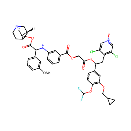 COc1cccc(C(Nc2cccc(C(=O)OCC(=O)OC(Cc3c(Cl)c[n+]([O-])cc3Cl)c3ccc(OC(F)F)c(OCC4CC4)c3)c2)C(=O)O[C@H]2CN3CCC2CC3)c1